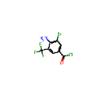 Nc1c(Br)cc(C(=O)Cl)cc1C(F)(F)F